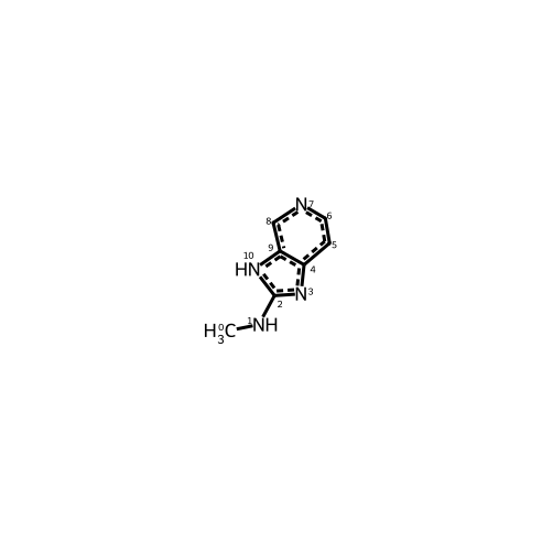 CNc1nc2ccncc2[nH]1